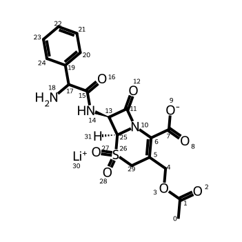 CC(=O)OCC1=C(C(=O)[O-])N2C(=O)[C@H](NC(=O)C(N)c3ccccc3)[C@@H]2S(=O)(=O)C1.[Li+]